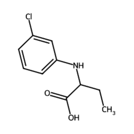 CCC(Nc1cccc(Cl)c1)C(=O)O